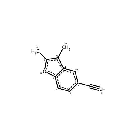 C#Cc1ccc2oc(C)c(C)c2c1